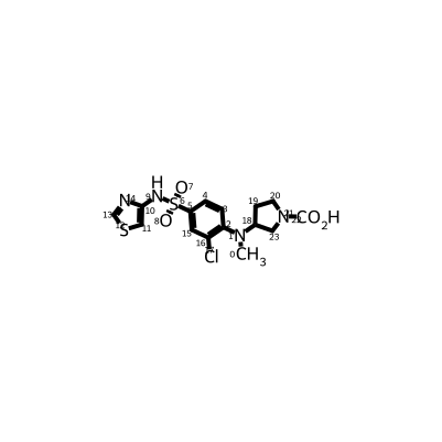 CN(c1ccc(S(=O)(=O)Nc2cscn2)cc1Cl)C1CCN(C(=O)O)C1